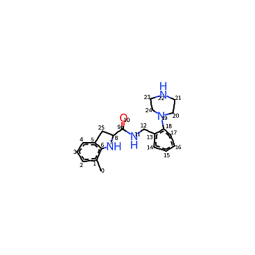 Cc1cccc2c1NC(C(=O)NCc1ccccc1N1CCNCC1)C2